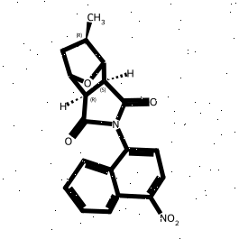 C[C@@H]1CC2OC1[C@H]1C(=O)N(c3ccc([N+](=O)[O-])c4ccccc34)C(=O)[C@@H]21